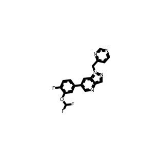 Fc1ccc(-c2cnc3cnn(Cc4ccncn4)c3c2)cc1OC(F)F